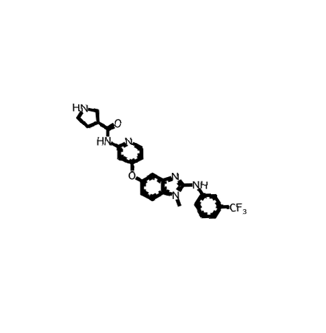 Cn1c(Nc2cccc(C(F)(F)F)c2)nc2cc(Oc3ccnc(NC(=O)C4CCNC4)c3)ccc21